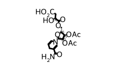 CC(=O)O[C@@H]1[C@H](OC(C)=O)[C@@H](COC(=O)[C@@H](O)CC(=O)O)O[C@H]1N1C=CCC(C(N)=O)=C1